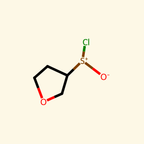 [O-][S+](Cl)C1CCOC1